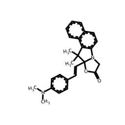 CN(C)c1ccc(/C=C/C23OC(=O)CN2c2ccc4ccccc4c2C3(C)C)cc1